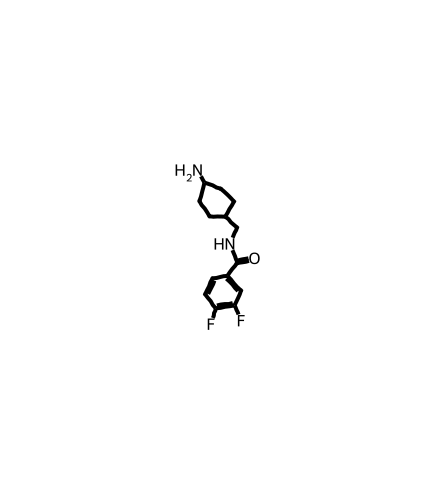 NC1CCC(CNC(=O)c2ccc(F)c(F)c2)CC1